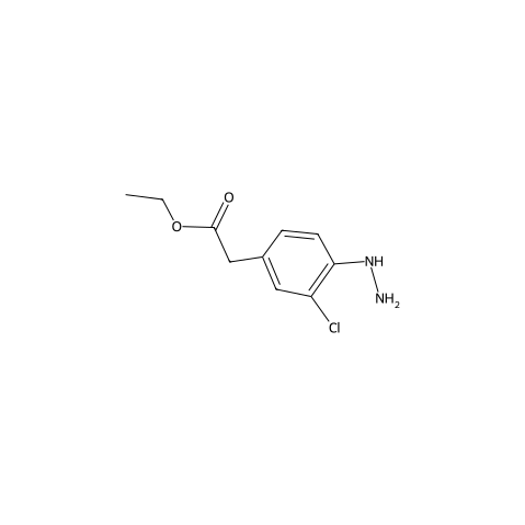 CCOC(=O)Cc1ccc(NN)c(Cl)c1